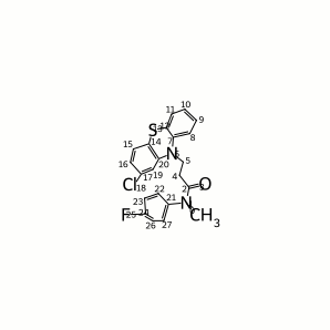 CN(C(=O)CCN1c2ccccc2Sc2ccc(Cl)cc21)c1ccc(F)cc1